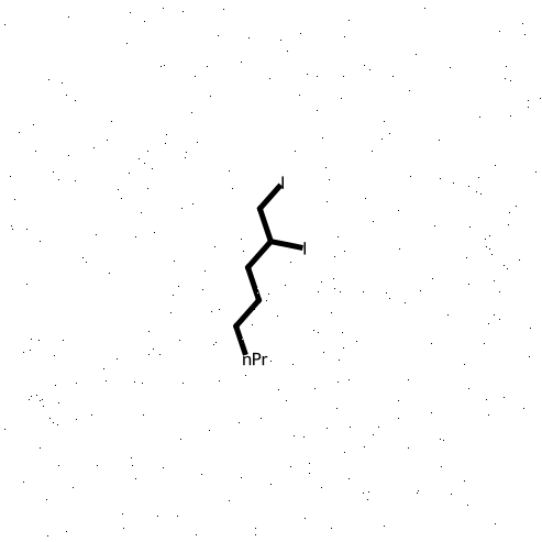 CCCCCCC(I)CI